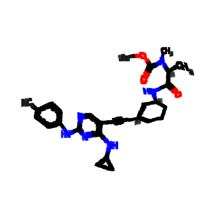 C[C@@H](C(=O)N[C@H]1CCC[C@@H](C#Cc2cnc(Nc3ccc(C#N)cc3)nc2NC2CC2)C1)N(C)C(=O)OC(C)(C)C